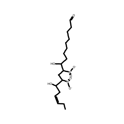 CC/C=C\CC(O)C(CC(C(O)CCCCCCC[C]=O)[N+](=O)[O-])[N+](=O)[O-]